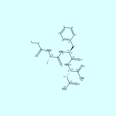 CCC(=O)N[C@@H](C)C(=O)N[C@@H](Cc1ccccc1)C(=O)N[C@@H](CC(=O)O)C(=O)O